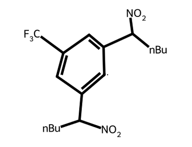 CCCCC(c1[c]c(C(CCCC)[N+](=O)[O-])cc(C(F)(F)F)c1)[N+](=O)[O-]